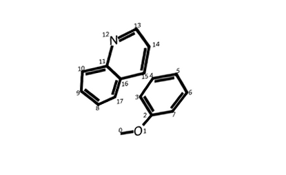 COc1ccccc1.c1ccc2ncccc2c1